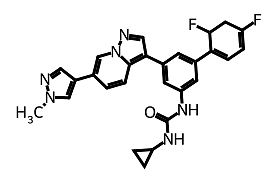 Cn1cc(-c2ccc3c(-c4cc(NC(=O)NC5CC5)cc(C5=CC=C(F)CC5F)c4)cnn3c2)cn1